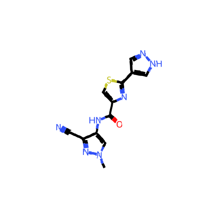 Cn1cc(NC(=O)c2csc(-c3cn[nH]c3)n2)c(C#N)n1